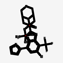 CC(C)(C)OC(=O)N1C2COCC1CN(c1nc3c(C(F)(F)F)c(Cl)cc(-n4cccn4)c3o1)C2